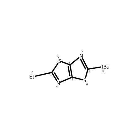 CCc1nc2sc(C(C)(C)C)nc2s1